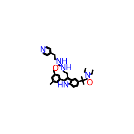 CCN(CC)C(=O)C(C)(C)c1ccc2[nH]c(-c3cc(C)cc(C)c3)c(CCNC(=O)NCCc3ccncc3)c2c1